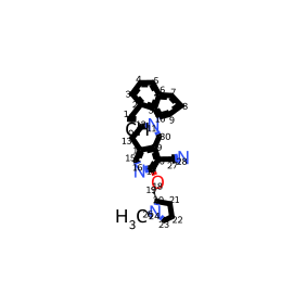 C#Cc1cccc2cccc(N3CCc4cnc(OC[C@@H]5CCCN5C)c(C#N)c4C3)c12